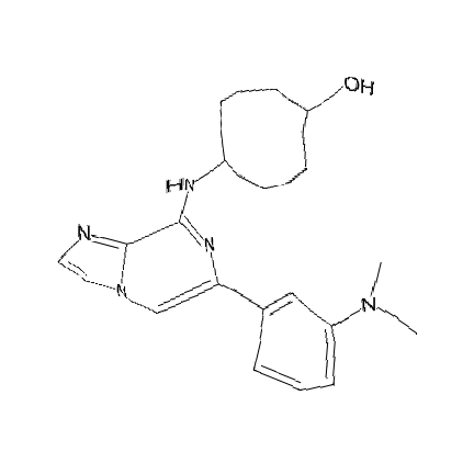 CN(C)c1cccc(-c2cn3ccnc3c(NC3CCC(O)CC3)n2)c1